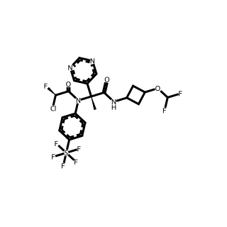 C[C@](C(=O)NC1CC(OC(F)F)C1)(c1cncnc1)N(C(=O)[C@H](F)Cl)c1ccc(S(F)(F)(F)(F)F)cc1